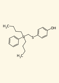 CCCC[Si](CCCC)(CSc1ccc(O)cc1)c1ccccc1